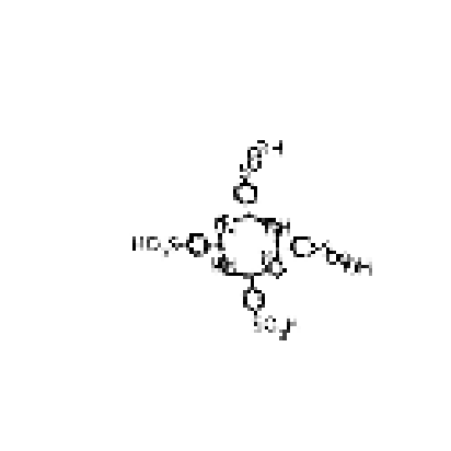 O=S(=O)(O)c1ccc(-c2c3nc(c(-c4ccc(SOOO)cc4)c4ccc([nH]4)c(-c4ccc(SOOO)cc4)c4nc(c(-c5ccc(S(=O)(=O)O)cc5)c5ccc2[nH]5)C=C4)C=C3)cc1